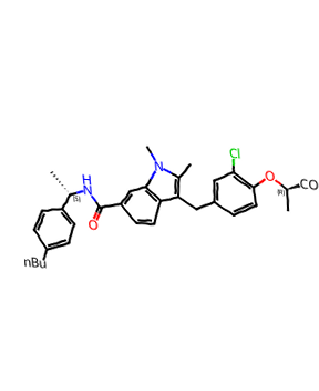 CCCCc1ccc([C@H](C)NC(=O)c2ccc3c(Cc4ccc(O[C@H](C)C(=O)O)c(Cl)c4)c(C)n(C)c3c2)cc1